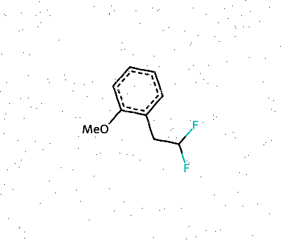 COc1ccccc1CC(F)F